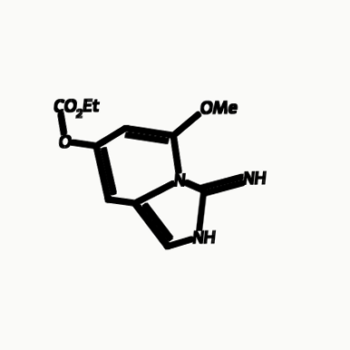 CCOC(=O)Oc1cc(OC)n2c(=N)[nH]cc2c1